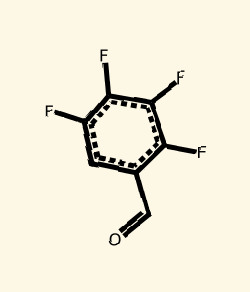 O=Cc1cc(F)c(F)c(F)c1F